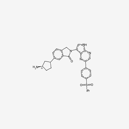 CC(C)S(=O)(=O)c1ccc(-c2cnc3[nH]cc(N4Cc5ccc(C6CC[C@@H](N)C6)cc5C4=O)c3n2)cc1